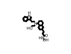 O=C(C=Cc1ccc2c(c1)CCCC2N(CCO)CCc1c[nH]c2ccccc12)NO